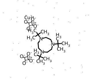 CC(C)(C)N1CCN(C(C)(C)C)CCN(C(C)(C)C)CC1.[Cu+2].[O-][Cl+3]([O-])([O-])[O-].[O-][Cl+3]([O-])([O-])[O-]